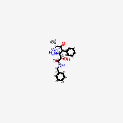 CC[C@H](C)[C@H](N)C(=O)C(c1ccccc1)[C@H](N)[C@@H](O)C(=O)NCc1ccccc1